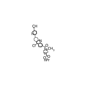 C#Cc1ccc(C2CCc3c(nc4cc(C(=O)N5CCN(C(=O)OCCC)C[C@@H]5C)ccc4c3Cl)C2)nc1